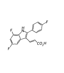 O=C(O)/C=C/c1c(-c2ccc(F)cc2)[nH]c2c(F)cc(F)cc12